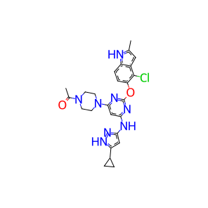 CC(=O)N1CCN(c2cc(Nc3cc(C4CC4)[nH]n3)nc(Oc3ccc4[nH]c(C)cc4c3Cl)n2)CC1